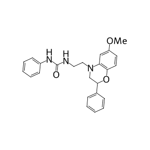 COc1ccc2c(c1)N(CCNC(=O)Nc1ccccc1)CC(c1ccccc1)O2